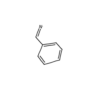 [N]=Cc1ccccc1